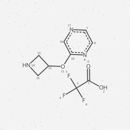 O=C(O)C(F)(F)F.c1cnc(OC2CNC2)cn1